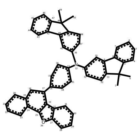 CC1(C)c2ccccc2-c2cc(N(c3ccc(-c4cc5ccccc5c5oc6ccccc6c45)cc3)c3ccc4c(c3)-c3ccccc3C4(C)C)ccc21